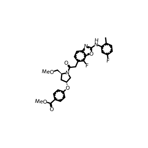 COC[C@@H]1C[C@@H](Oc2ccc(C(=O)OC)cc2)CN1C(=O)Cc1ccc2nc(Nc3cc(F)ccc3C)oc2c1F